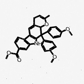 COC(=O)c1ccc2c3c([nH]c2c1)C(c1ccc(OC)cc1)(c1ccc(OC)cc1)C1OC(C)=CCC1=C3